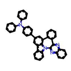 c1ccc(N(c2ccccc2)c2ccc(-c3cc4c5c(c3)c3ccccc3n5-c3nc5ccccc5nc3-c3ccccc3-4)cc2)cc1